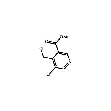 COC(=O)c1cncc(Cl)c1CCl